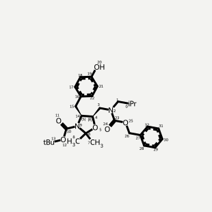 CC(C)CN(C[C@H]1OC(C)(C)N(C(=O)OC(C)(C)C)[C@H]1Cc1ccc(O)cc1)C(=O)OCc1ccccc1